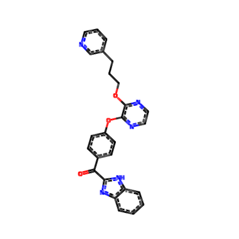 O=C(c1ccc(Oc2nccnc2OCCCc2cccnc2)cc1)c1nc2ccccc2[nH]1